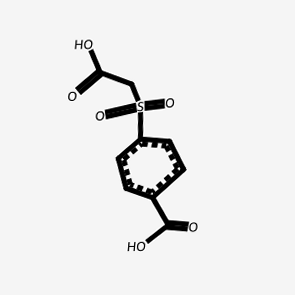 O=C(O)CS(=O)(=O)c1ccc(C(=O)O)cc1